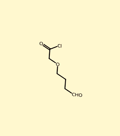 O=CCCCOCC(=O)Cl